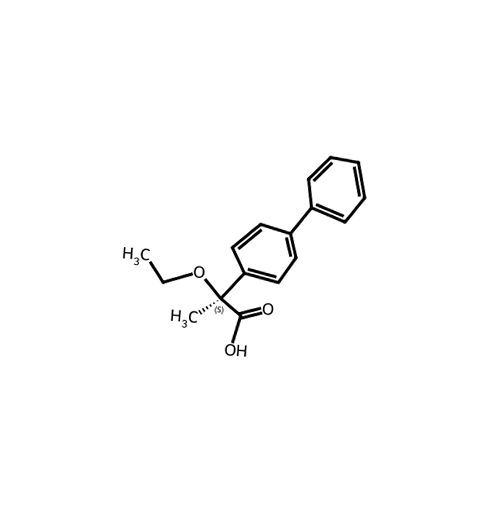 CCO[C@](C)(C(=O)O)c1ccc(-c2ccccc2)cc1